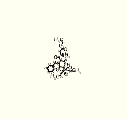 CCOC(=O)CNC(=O)C(C(C)C)N(Cc1ccccc1)C(=O)CP(=O)(OCC)OCC